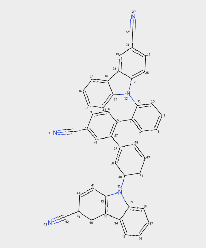 N#Cc1ccc(-c2ccccc2-n2c3ccccc3c3cc(C#N)ccc32)c(C2=CC(n3c4c(c5ccccc53)CC(C#N)C=C4)CC=C2)c1